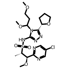 COCCC(OC)n1c(NS(=O)(=O)[C@@H](C)[C@H](OC)c2ncc(Cl)cn2)nnc1[C@@H]1CCCO1